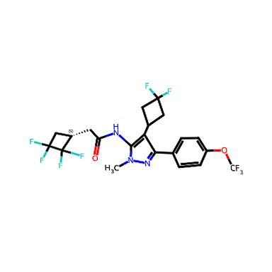 Cn1nc(-c2ccc(OC(F)(F)F)cc2)c(C2CC(F)(F)C2)c1NC(=O)C[C@H]1CC(F)(F)C1(F)F